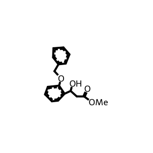 COC(=O)CC(O)c1ccccc1OCc1ccccc1